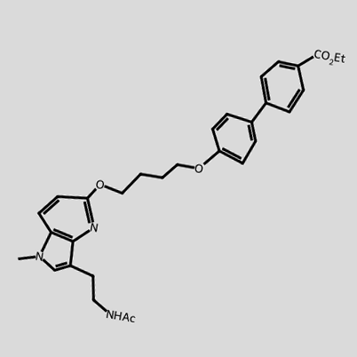 CCOC(=O)c1ccc(-c2ccc(OCCCCOc3ccc4c(n3)c(CCNC(C)=O)cn4C)cc2)cc1